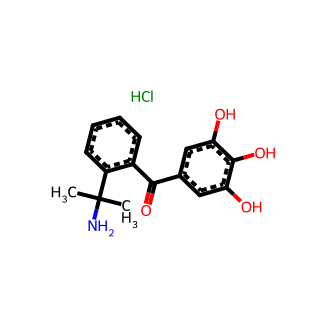 CC(C)(N)c1ccccc1C(=O)c1cc(O)c(O)c(O)c1.Cl